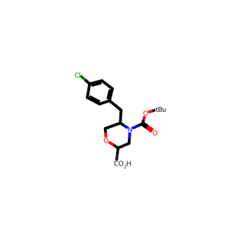 CC(C)(C)OC(=O)N1CC(C(=O)O)OCC1Cc1ccc(Cl)cc1